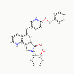 O=C1c2cc(Cc3ccc(OCc4ccccc4)nc3)c3cccnc3c2CN1[C@H]1CCCC[C@@H]1O